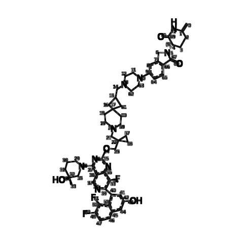 C=C1CC[C@H](N2Cc3cc(N4CCN(CC5CC6(CCN(CC7(COc8nc(N9CCC[C@@](C)(O)C9)c9cnc(-c%10cc(O)cc%11ccc(F)c(F)c%10%11)c(F)c9n8)CC7)CC6)C5)CC4)ccc3C2=O)C(=O)N1